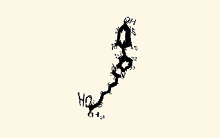 CC(O)CCCC=Cc1cnc2cc(-c3ccc(O)cc3F)ccc2n1